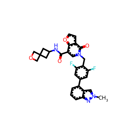 Cn1cc2c(-c3cc(F)c(Cn4cc(C(=O)NC5CC6(COC6)C5)c5occc5c4=O)c(F)c3)cccc2n1